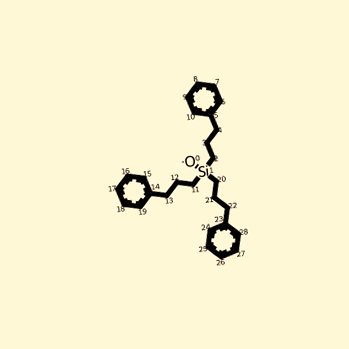 [O][Si](CCCc1ccccc1)(CCCc1ccccc1)CCCc1ccccc1